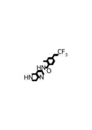 Cc1cc(C=CC(F)(F)F)ccc1C(=O)Nc1cnc2c(c1)CNCC2